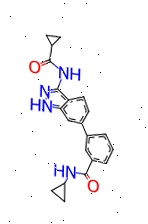 O=C(NC1CC1)c1cccc(-c2ccc3c(NC(=O)C4CC4)n[nH]c3c2)c1